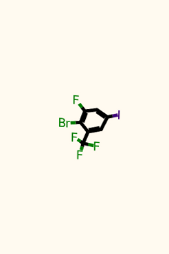 Fc1cc(I)cc(C(F)(F)F)c1Br